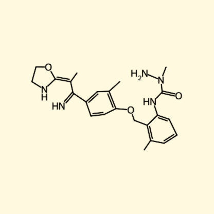 C/C(C(=N)c1ccc(OCc2c(C)cccc2NC(=O)N(C)N)c(C)c1)=C1/NCCO1